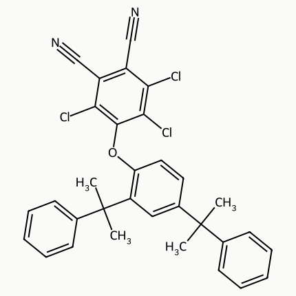 CC(C)(c1ccccc1)c1ccc(Oc2c(Cl)c(Cl)c(C#N)c(C#N)c2Cl)c(C(C)(C)c2ccccc2)c1